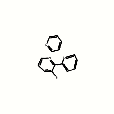 Brc1cccnc1-c1ccccn1.c1ccncc1